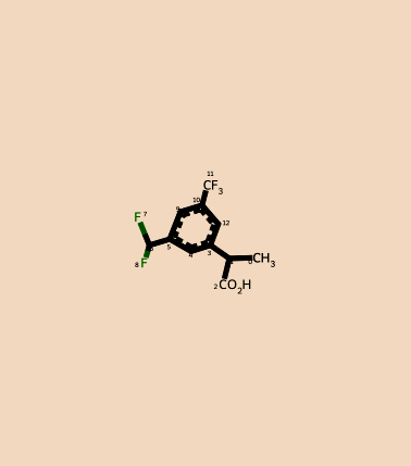 CC(C(=O)O)c1cc(C(F)F)cc(C(F)(F)F)c1